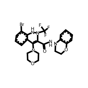 O=C(NN1CCOc2ccccc21)C1=C(N2CCOCC2)c2cccc(Br)c2NN1C(F)(F)F